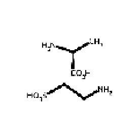 C[C@H](N)C(=O)O.NCCS(=O)(=O)O